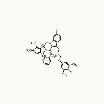 CC[C@@]1(c2c(C)nn(C)c2C)Cn2c(c(CCCOc3cc(C)c(Cl)c(C)c3)c3ccc(Cl)cc32)C(=O)N1Cc1ncccc1C(=O)O